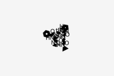 CC(C)(C)[C@H](NC(=O)[C@@H](NC(=O)c1cnccn1)C1CCCCC1)C(=O)N1C[C@@H]2CCC[C@@H]2[C@H]1C(=O)NCC(=O)C(=O)NC1CC1